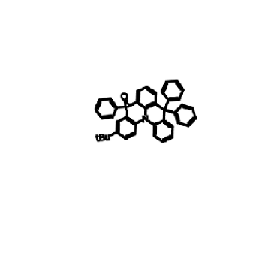 CC(C)(C)c1ccc2c(c1)P(=O)(c1ccccc1)c1cccc3c1N2c1ccccc1C3(c1ccccc1)c1ccccc1